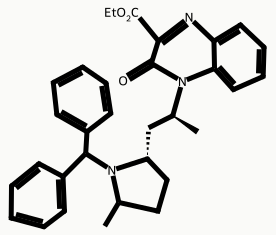 CCOC(=O)c1nc2ccccc2n([C@@H](C)C[C@@H]2CCC(C)N2C(c2ccccc2)c2ccccc2)c1=O